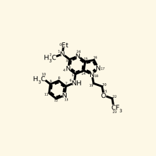 CCN(C)c1nc(Nc2cc(C)ccn2)c2c(cnn2CCOCC(F)(F)F)n1